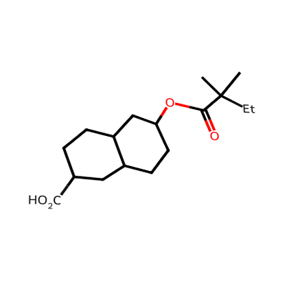 CCC(C)(C)C(=O)OC1CCC2CC(C(=O)O)CCC2C1